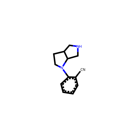 N#Cc1ccccc1N1CCC2CNCC21